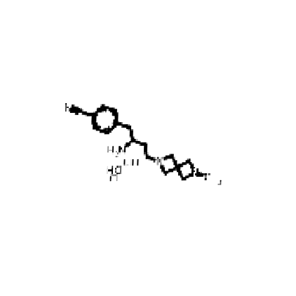 CN1CC2(C1)CN(CCC(N)Cc1ccc(C#N)cc1)C2.Cl.Cl.Cl